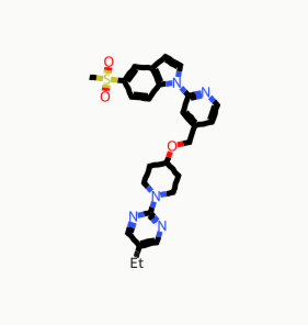 CCc1cnc(N2CCC(OCc3ccnc(-n4ccc5cc(S(C)(=O)=O)ccc54)c3)CC2)nc1